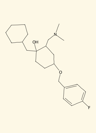 CN(C)CC1CC(OCc2ccc(F)cc2)CCC1(O)CC1CCCCC1